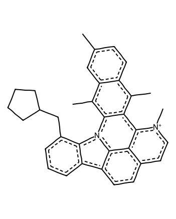 Cc1ccc2c(C)c3c(c(C)c2c1)n1c2c(CC4CCCC4)cccc2c2ccc4cc[n+](C)c3c4c21